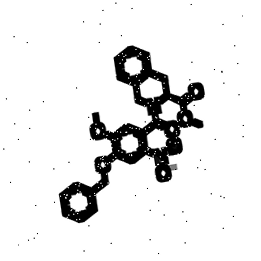 COC(=O)[C@@H]1Cc2ccccc2CN1C(=O)c1cc(OC)c(OCc2ccccc2)cc1[N+](=O)[O-]